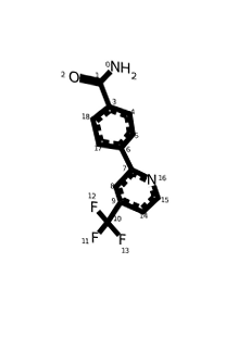 NC(=O)c1ccc(-c2cc(C(F)(F)F)ccn2)cc1